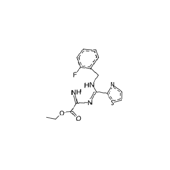 CCOC(=O)C(=N)/N=C(\NCc1ccccc1F)c1nccs1